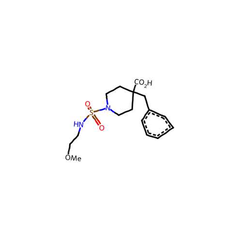 COCCNS(=O)(=O)N1CCC(Cc2ccccc2)(C(=O)O)CC1